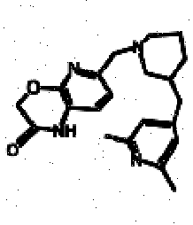 Cc1cc(CC2CCCN(Cc3ccc4c(n3)OCC(=O)N4)C2)cc(C)n1